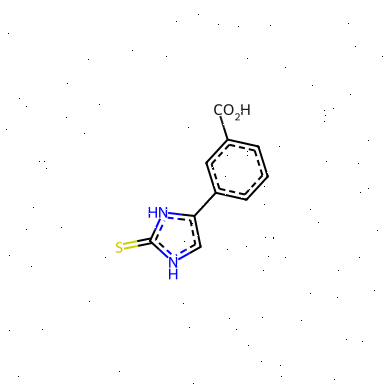 O=C(O)c1cccc(-c2c[nH]c(=S)[nH]2)c1